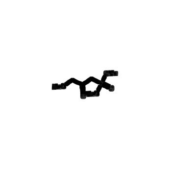 COCC(=O)CP(=O)(OC)OC